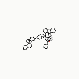 c1ccc(-c2cccc(N(c3ccc(-c4ccc5oc6c7ccccc7ccc6c5c4)cc3)c3cccc4c5ccccc5n(-c5ccccc5)c34)c2)cc1